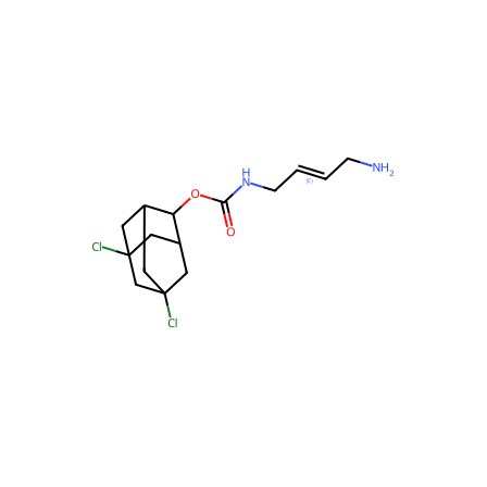 NC/C=C/CNC(=O)OC1C2CC3(Cl)CC1CC(Cl)(C2)C3